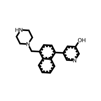 Oc1cncc(-c2ccc(CN3CCNCC3)c3ccccc23)c1